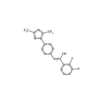 N#C/C(=C\c1ccc(-n2nc(C(F)(F)F)cc2C(F)(F)F)cc1)c1cccc(F)c1F